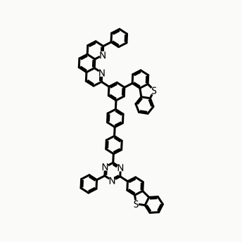 c1ccc(-c2ccc3ccc4ccc(-c5cc(-c6ccc(-c7ccc(-c8nc(-c9ccccc9)nc(-c9ccc%10c(c9)sc9ccccc9%10)n8)cc7)cc6)cc(-c6cccc7sc8ccccc8c67)c5)nc4c3n2)cc1